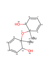 CCCCC1(OC2(CCCC)C=CC=CC2O)C=CC=CC1O